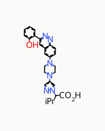 CC(C)C(C(=O)O)n1cc(N2CCN(c3ccc4nnc(-c5ccccc5O)cc4c3)CC2)cn1